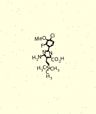 COc1c(Cl)ccc(-c2nc(N)c(/C=C/[Si](C)(C)C)c(C(=O)O)n2)c1F